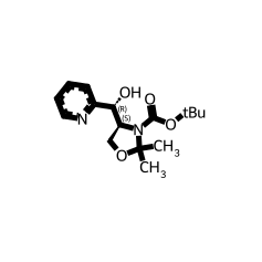 CC(C)(C)OC(=O)N1[C@H]([C@@H](O)c2ccccn2)COC1(C)C